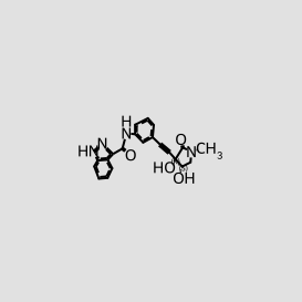 CN1C[C@H](O)[C@](O)(C#Cc2cccc(NC(=O)c3n[nH]c4ccccc34)c2)C1=O